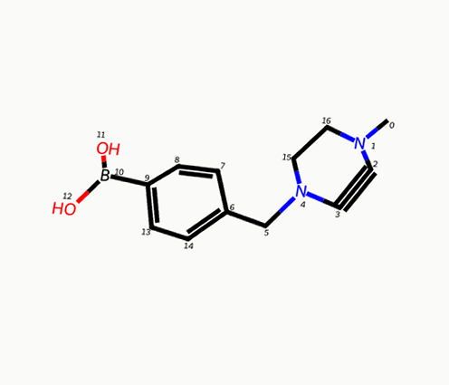 CN1C#CN(Cc2ccc(B(O)O)cc2)CC1